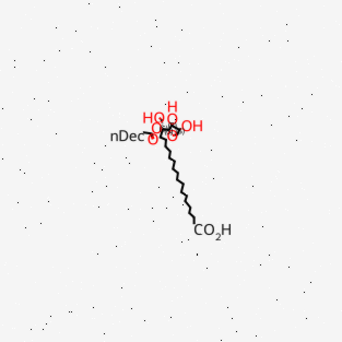 CCCCCCCCCCCC(=O)O[C@](CO)(CCCCCCCCCCCCCCCCCC(=O)O)[C@H]1OC[C@H](O)[C@H]1O